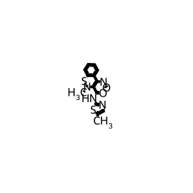 Cc1cnc(NC(=O)C2=C(N=O)c3ccccc3SN2C)s1